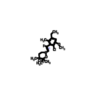 CCc1cc(OC)c(Cl)c(/C(F)=C/B2CCC(C)(C)C(C)(C)O2)c1C